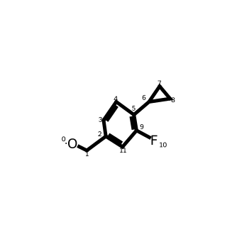 [O]Cc1ccc(C2CC2)c(F)c1